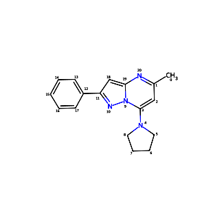 Cc1cc(N2CCCC2)n2nc(-c3ccccc3)cc2n1